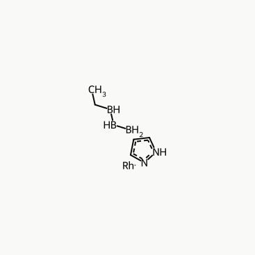 BBBCC.[Rh].c1cn[nH]c1